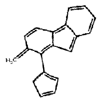 C=c1ccc2c(c1C1=CC=CC1)[C]=c1ccccc1=2